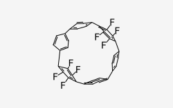 Fc1c(F)c2c(F)c(F)c1-c1ccc(cc1)-c1ccc(cc1)-c1c(F)c(F)c(c(F)c1F)-c1ccc(cc1)-c1ccc-2cc1